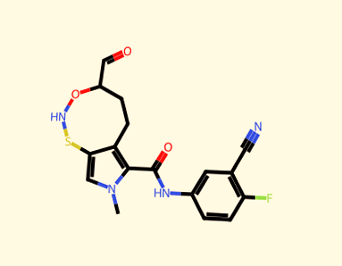 Cn1cc2c(c1C(=O)Nc1ccc(F)c(C#N)c1)CCC(C=O)ONS2